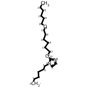 [CH2]CCCCCn1ccnc1OCCCCCCOCCCCCC